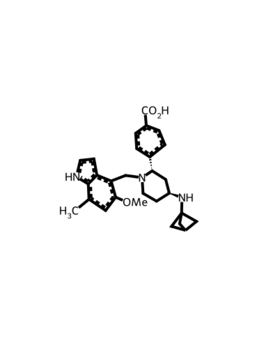 COc1cc(C)c2[nH]ccc2c1CN1CC[C@H](NC23CC(C2)C3)C[C@H]1c1ccc(C(=O)O)cc1